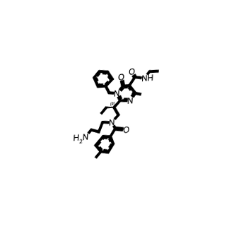 CCNC(=O)c1c(C)nc([C@H](CC)CN(CCCN)C(=O)c2ccc(C)cc2)n(Cc2ccccc2)c1=O